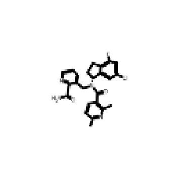 Cc1ccc(C(=O)N(Cc2cccnc2C(N)=O)[C@@H]2CCc3c(F)cc(Cl)cc32)c(C)n1